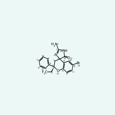 NC1=NC2(C[C@@](CC(F)(F)F)(c3ccccc3)Oc3ccc(Br)cc32)C(=O)N1